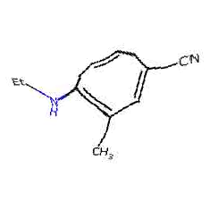 CCNc1ccc(C#N)cc1C